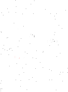 CCCCC(CCC)c1cccc(O)c1-c1ccccc1